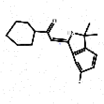 CC1(C)N/C(=C\C(=O)C2CCCCC2)c2cc(F)ccc21